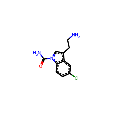 NCCc1cn(C(N)=O)c2ccc(Cl)cc12